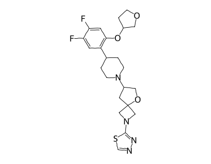 Fc1cc(OC2CCOC2)c(C2CCN(C3COC4(C3)CN(c3nncs3)C4)CC2)cc1F